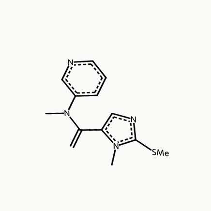 C=C(c1cnc(SC)n1C)N(C)c1cccnc1